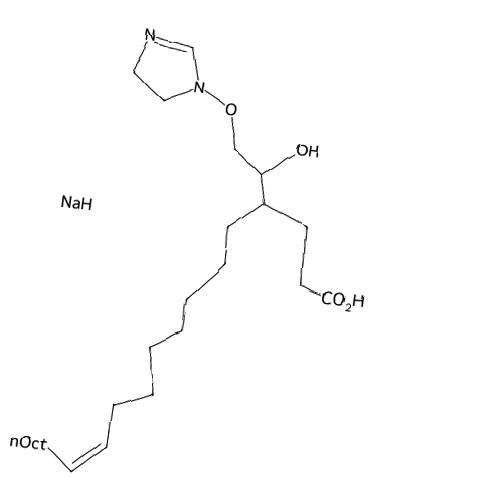 CCCCCCCC/C=C\CCCCCCCC(CCC(=O)O)C(O)CON1C=NCC1.[NaH]